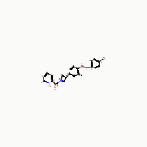 CCc1ccc(COc2ccc(C3CN(C(=O)c4ccccn4)C3)cc2C)cc1